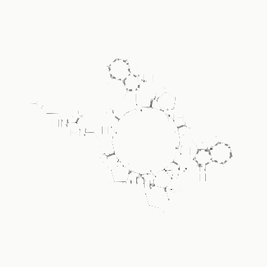 COCCNC(=O)NCC[C@@H]1NC(=O)[C@H](Cc2c[nH]c3ccccc23)NC(=O)C2(CCCC2)NC(=O)[C@H](Cc2c[nH]c3ccccc23)NC(=O)[C@@H]2C[C@@H]3CCCC[C@@H]3N2C(=O)[C@H]2CCCN2C1=O